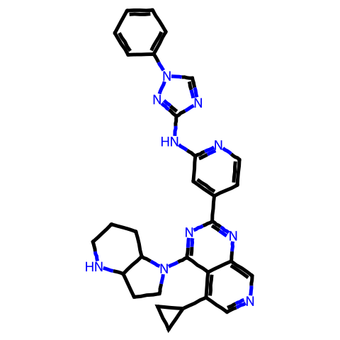 c1ccc(-n2cnc(Nc3cc(-c4nc(N5CCC6NCCCC65)c5c(C6CC6)cncc5n4)ccn3)n2)cc1